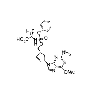 COc1nc(N)nc2c1ncn2[C@H]1C=C[C@@H](COP(=O)(NC(C)C(=O)O)Oc2ccccc2)C1